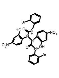 O=C(Nc1ccccc1Br)N(c1ccc([N+](=O)[O-])cc1O)N(C(=O)Nc1ccccc1Br)c1ccc([N+](=O)[O-])cc1O